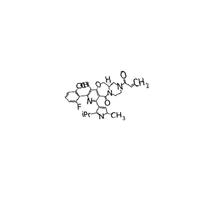 C=CC(=O)N1CCN2C(=O)c3c(C4=CC(C)N=C4C(C)C)nc(-c4c(O)cccc4F)c(Cl)c3OC[C@H]2C1